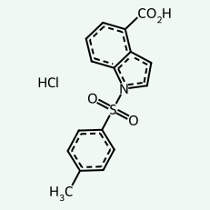 Cc1ccc(S(=O)(=O)n2ccc3c(C(=O)O)cccc32)cc1.Cl